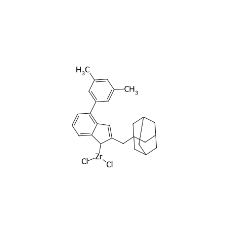 Cc1cc(C)cc(-c2cccc3c2C=C(CC24CC5CC(CC(C5)C2)C4)[CH]3[Zr]([Cl])[Cl])c1